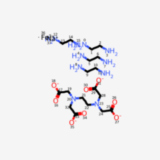 NCCN.NCCN.NCCN.NCCN.O=C([O-])CN(CCN(CC(=O)[O-])CC(=O)[O-])CC(=O)[O-].[Fe+3].[Na+]